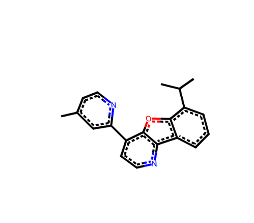 Cc1ccnc(-c2ccnc3c2oc2c(C(C)C)cccc23)c1